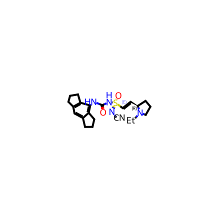 CCN1CCC[C@@H]1/C=C/S(=O)(=NC#N)NC(=O)Nc1c2c(cc3c1CCC3)CCC2